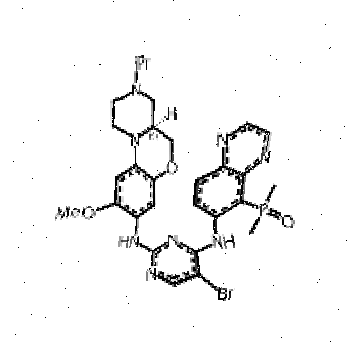 COc1cc2c(cc1Nc1ncc(Br)c(Nc3ccc4nccnc4c3P(C)(C)=O)n1)OC[C@@H]1CN(C(C)C)CCN21